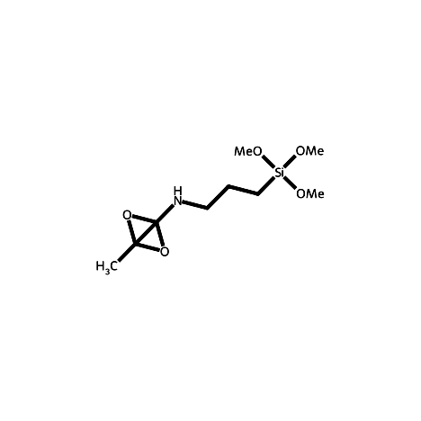 CO[Si](CCCNC12OC1(C)O2)(OC)OC